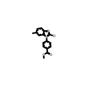 COC(=O)c1ccc(-n2c(Cl)nc3ccc(C)cc32)cc1